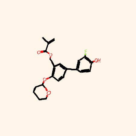 C=C(C)C(=O)OCc1cc(-c2ccc(O)c(F)c2)ccc1OC1CCCCO1